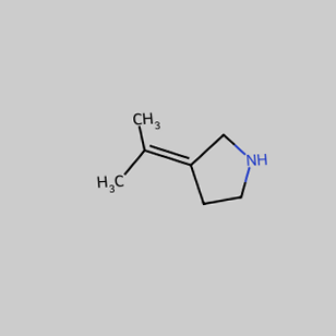 CC(C)=C1CCNC1